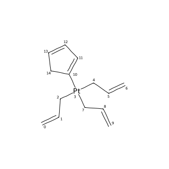 C=C[CH2][Pt]([CH2]C=C)([CH2]C=C)[C]1=CC=CC1